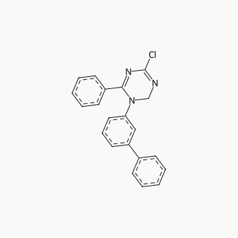 ClC1=NCN(c2cccc(-c3ccccc3)c2)C(c2ccccc2)=N1